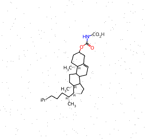 CC(C)CCC[C@@H](C)[C@H]1CCC2C3CC=C4CC(OC(=O)NC(=O)O)CC[C@]4(C)C3CC[C@@]21C